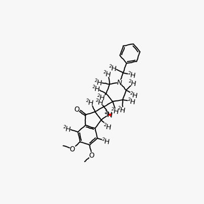 [2H]c1c(OC)c(OC)c([2H])c2c1C(=O)C([2H])(C([2H])([2H])C1([2H])C([2H])([2H])C([2H])([2H])N(C([2H])([2H])c3ccccc3)C([2H])([2H])C1([2H])[2H])C2([2H])[2H]